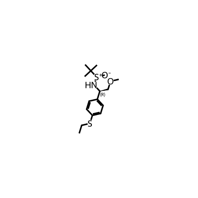 CCSc1ccc([C@H](COC)N[S+]([O-])C(C)(C)C)cc1